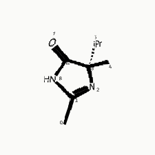 CC1=N[C@@](C)(C(C)C)C(=O)N1